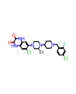 CC[C@H]1CN(c2cc3[nH]c(=O)c(=O)[nH]c3cc2Cl)CCN1C1CCN(Cc2ccc(Cl)cc2F)CC1